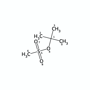 CC(C)(C)OS(C)(=O)=O